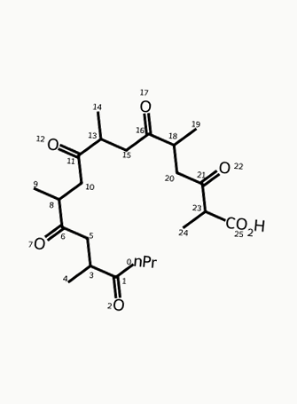 CCCC(=O)C(C)CC(=O)C(C)CC(=O)C(C)CC(=O)C(C)CC(=O)C(C)C(=O)O